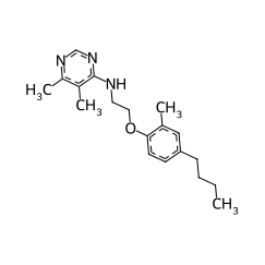 CCCCc1ccc(OCCNc2ncnc(C)c2C)c(C)c1